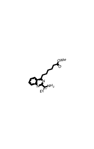 CC[C@H](N)c1nc(CCCCCC(=O)OC)c2ccccc2n1